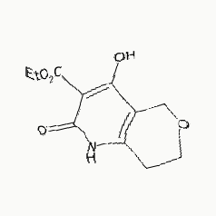 CCOC(=O)c1c(O)c2c([nH]c1=O)CCOC2